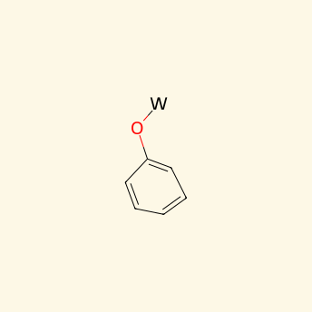 [W][O]c1ccccc1